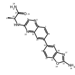 C[C@H](Nc1cnc2ccc(-c3ccc4oc(N)nc4c3)cc2n1)C(N)=O